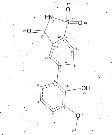 COc1cccc(-c2ccc3c(c2)C(=O)NS3(=O)=O)c1O